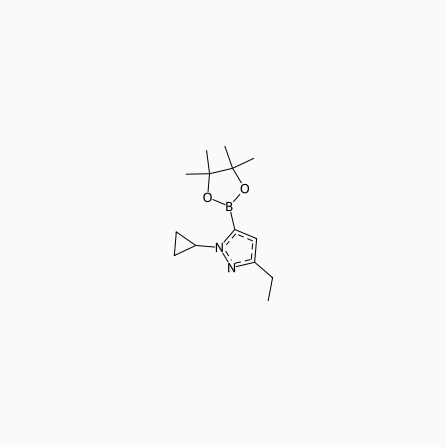 CCc1cc(B2OC(C)(C)C(C)(C)O2)n(C2CC2)n1